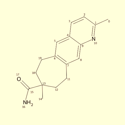 Cc1ccc2cc3c(cc2n1)CCC(C)(C(N)=O)CC3